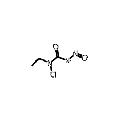 CCN(Cl)C(=O)[N]N=O